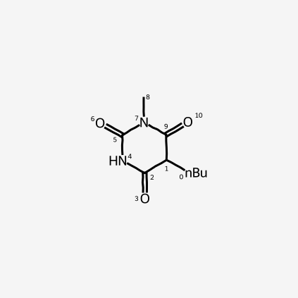 CCCCC1C(=O)NC(=O)N(C)C1=O